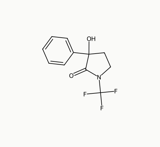 O=C1N(C(F)(F)F)CCC1(O)c1ccccc1